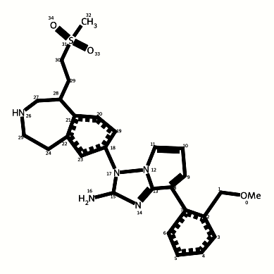 COCc1ccccc1C1=CC=CN2C1=NC(N)N2c1ccc2c(c1)CCNCC2CCS(C)(=O)=O